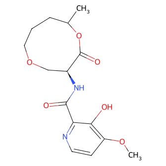 COc1ccnc(C(=O)N[C@H]2COCCCC(C)OC2=O)c1O